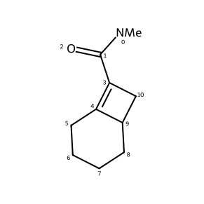 CNC(=O)C1=C2CCCCC2C1